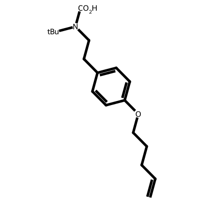 C=CCCCOc1ccc(CCN(C(=O)O)C(C)(C)C)cc1